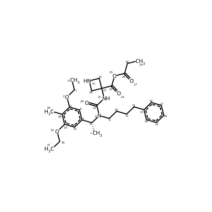 CCOc1cc([C@@H](C)N(CCCCc2ccccc2)C(=O)NC2(C(=O)OC(=O)CC)CNC2)cc(OCC)c1C